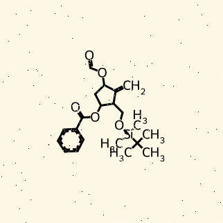 C=C1C(OC=O)CC(OC(=O)c2ccccc2)C1CO[Si](C)(C)C(C)(C)C